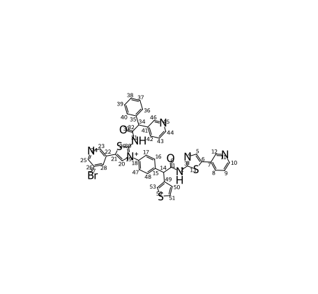 O=C(Nc1ncc(-c2cccnc2)s1)C(c1ccc(-[n+]2cc(-c3cncc(Br)c3)sc2NC(=O)C(c2ccccc2)c2cccnc2)cc1)c1ccsc1